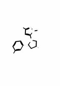 Cn1nc(O)cc1N1C[C@@H](O)C[C@@H]1c1cccc(F)c1